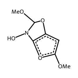 COc1cc2c(o1)N(O)C(OC)O2